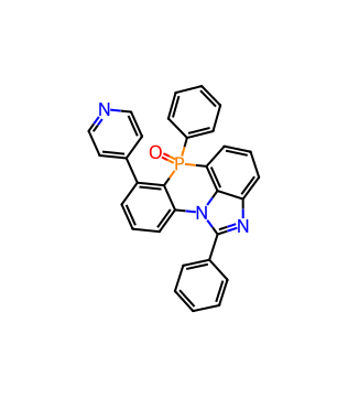 O=P1(c2ccccc2)c2c(-c3ccncc3)cccc2-n2c(-c3ccccc3)nc3cccc1c32